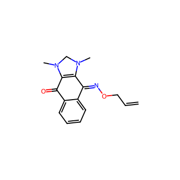 C=CCON=C1C2=C(C(=O)c3ccccc31)N(C)CN2C